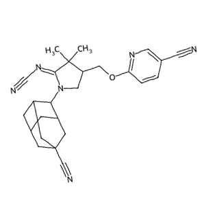 CC1(C)/C(=N/C#N)N(C2C3CC4CC2CC(C#N)(C4)C3)CC1COc1ccc(C#N)cn1